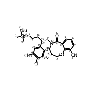 C[C@H]1COc2c(C#N)cccc2C(=O)N(C[C@@H](CCO[Si](C)(C)C(C)(C)C)c2ccc(Cl)c(Cl)c2)C1